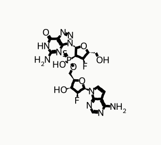 Nc1nc2c(nnn2[C@@H]2O[C@H](CO)[C@@H](F)[C@H]2P(O)(=S)OC[C@H]2O[C@@H](n3ccc4c(N)ncnc43)[C@@H](F)[C@@H]2O)c(=O)[nH]1